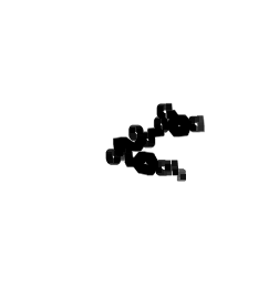 Cc1ccc(CN2C(=O)CCC2CC(=O)OCCOc2ccc(Cl)cc2Cl)cc1